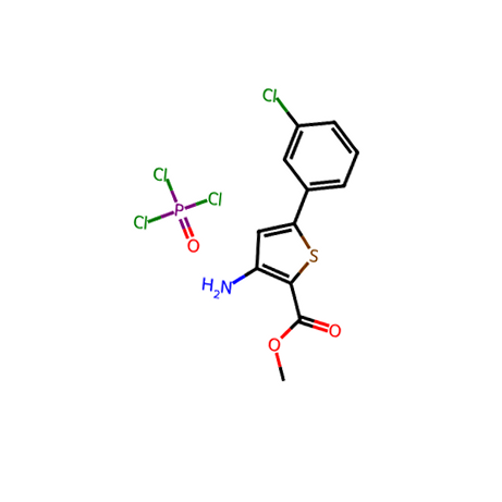 COC(=O)c1sc(-c2cccc(Cl)c2)cc1N.O=P(Cl)(Cl)Cl